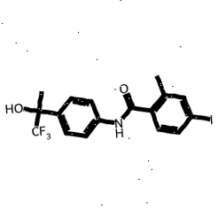 Cc1cc(I)ccc1C(=O)Nc1ccc(C(C)(O)C(F)(F)F)cc1